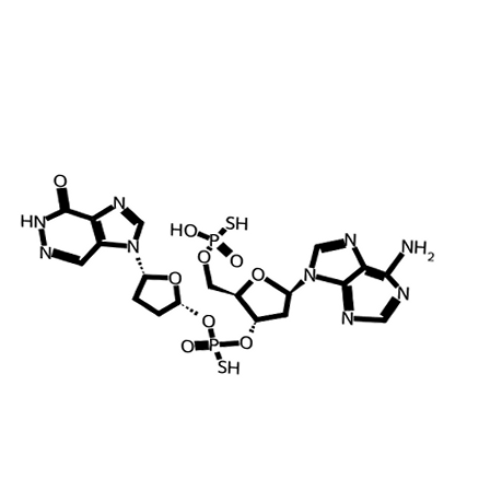 Nc1ncnc2c1ncn2[C@H]1C[C@H](OP(=O)(S)O[C@@H]2CC[C@H](n3cnc4c(=O)[nH]ncc43)O2)[C@@H](COP(=O)(O)S)O1